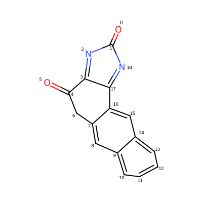 O=C1N=C2C(=O)Cc3cc4ccccc4cc3C2=N1